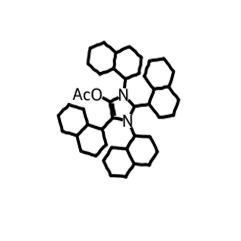 CC(=O)OC1=C(C2CCCC3CCCCC32)N(C2CCCC3CCCCC32)C(C2CCCC3CCCCC32)N1C1CCCC2CCCCC21